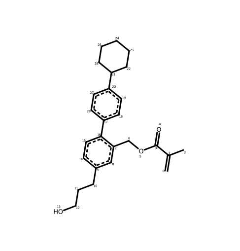 C=C(C)C(=O)OCc1cc(CCCO)ccc1-c1ccc(C2CCCCC2)cc1